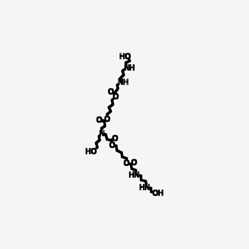 O=C(CCNCCCNCCO)OCCCCCOC(=O)CCN(CCCCO)CCC(=O)OCCCCCOC(=O)CCNCCCNCCO